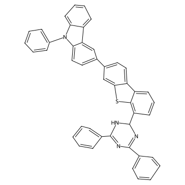 c1ccc(C2=NC(c3cccc4c3sc3cc(-c5ccc6c(c5)c5ccccc5n6-c5ccccc5)ccc34)NC(c3ccccc3)=N2)cc1